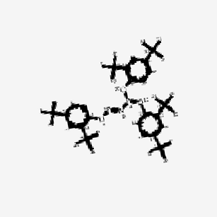 CC(C)(C)c1ccc(OP=NP(Oc2ccc(C(C)(C)C)cc2C(C)(C)C)Oc2ccc(C(C)(C)C)cc2C(C)(C)C)c(C(C)(C)C)c1